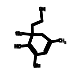 CC1=CC(C(C)(C)C)=C(O)C(CCO)(C(C)(C)C)C1